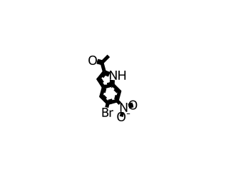 CC(=O)c1cc2cc(Br)c([N+](=O)[O-])cc2[nH]1